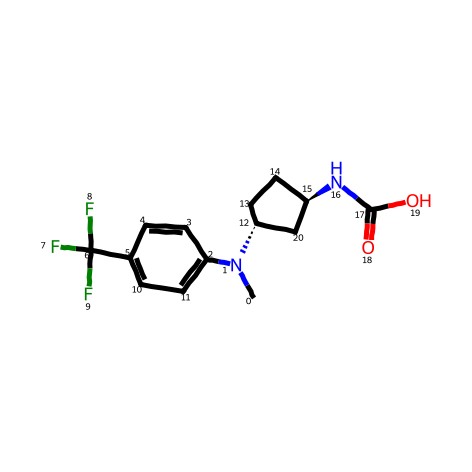 CN(c1ccc(C(F)(F)F)cc1)[C@@H]1CC[C@@H](NC(=O)O)C1